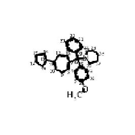 COc1ccc(C(C2=CCC=C(C3CCCC3)C=C2)(c2ccccc2)N2CCCCC2)cc1